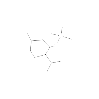 C[C](C)C1CCC(C)CC1O[Si](C)(C)C